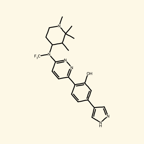 CC1C(N(c2ccc(-c3ccc(-c4cn[nH]c4)cc3O)nn2)C(F)(F)F)CCN(C)C1(C)C